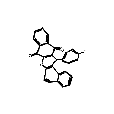 O=C1C2=C(C(=O)c3ccccc31)C(c1ccc(F)cc1)c1c(ccc3ccccc13)O2